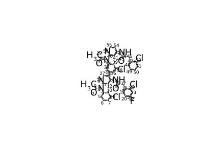 CC(=O)N(c1cccc(Cl)c1)c1cc(NC(=O)Cc2ccc(F)cc2Cl)ccn1.CC(=O)N(c1cccc(Cl)c1)c1cc(NC(=O)Cc2ccccc2Cl)ccn1